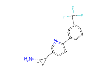 N[C@H]1CC1c1ccc(-c2cccc(C(F)(F)F)c2)nc1